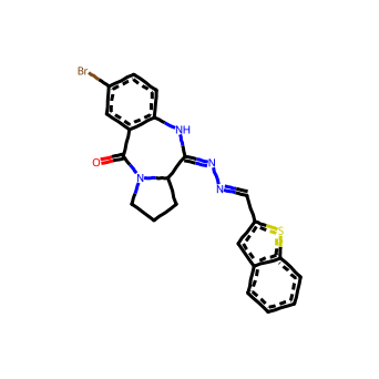 O=C1c2cc(Br)ccc2N/C(=N/N=C/c2cc3ccccc3s2)C2CCCN12